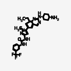 CCc1cc(-c2cc(NC(=O)Nc3cccc(C(F)(F)F)c3)nn2C)cc2cnc(N[C@H]3CC[C@H](N)CC3)nc12